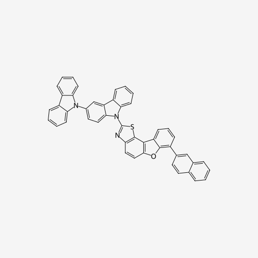 c1ccc2cc(-c3cccc4c3oc3ccc5nc(-n6c7ccccc7c7cc(-n8c9ccccc9c9ccccc98)ccc76)sc5c34)ccc2c1